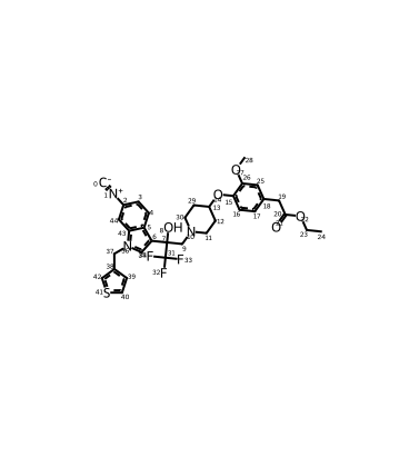 [C-]#[N+]c1ccc2c(C(O)(CN3CCC(Oc4ccc(CC(=O)OCC)cc4OC)CC3)C(F)(F)F)cn(Cc3ccsc3)c2c1